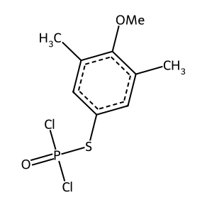 COc1c(C)cc(SP(=O)(Cl)Cl)cc1C